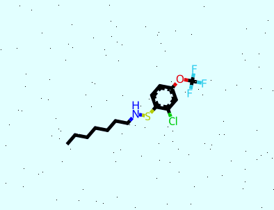 CCCCCCCNSc1ccc(OC(F)(F)F)cc1Cl